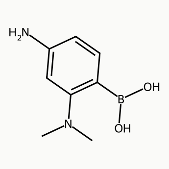 CN(C)c1cc(N)ccc1B(O)O